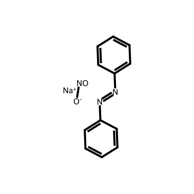 O=N[O-].[Na+].c1ccc(N=Nc2ccccc2)cc1